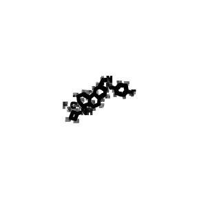 C[C@]12Cc3cnn(-c4ccc(F)cc4)c3C=C1CC[C@H]1C2=CC[C@@H](C(F)(F)F)[C@@H]1NC1CCC1